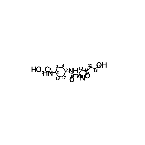 O=C(O)N[C@H]1CC[C@H](NC(=O)c2cc(CCO)on2)CC1